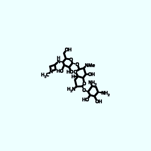 CNC1C(O[C@H]2OC(CO)[C@@H](NC3CN(C)C3)C(O)C2O)O[C@H]2CC(N)[C@@H](O[C@H]3C(O)C(O)[C@H](N)C[C@@H]3N)OC2C1O